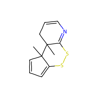 CC12C=CC=C1SSC1=NC=CCC12C